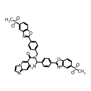 CS(=O)(=O)c1ccc2oc(-c3ccc(CN(C(=O)c4ccc5nccn5c4)C(N)c4ccc(-c5nc6cc(S(C)(=O)=O)ccc6o5)cc4)cc3)nc2c1